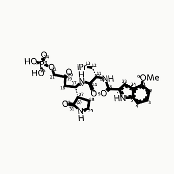 COc1cccc2[nH]c(C(=O)N[C@@H](CC(C)C)C(=O)NC(CC(=O)COP(=O)(O)O)[C@@H]3CCNC3=O)cc12